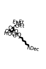 CCCCCCCCCCCCCCCCOC(=O)O[C@@H]1[C@@H](CO[Si](CC)(CC)CC)OC(=O)[C@@]1(C)O